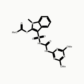 COC(=O)Oc1c(S(=O)(=O)NC(=O)Nc2nc(OC)nc(OC)n2)c2ccccc2n1C